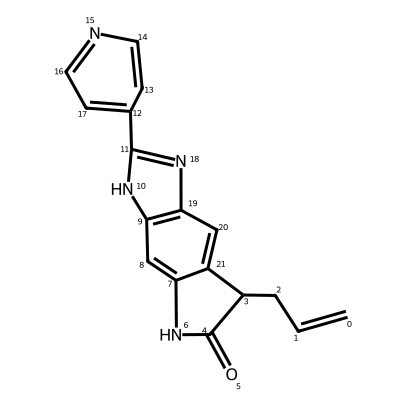 C=CCC1C(=O)Nc2cc3[nH]c(-c4ccncc4)nc3cc21